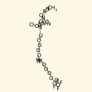 CN1CCN(CCC(=O)N2CC3(C2)C(=O)N(Cc2nc4cc(Cl)ccc4n2CCCCOCCOCCOCCOCCOCc2cn(CCOCCOCCOCCOCCC(=O)Oc4c(F)c(F)cc(F)c4F)nn2)c2cnccc23)CC1